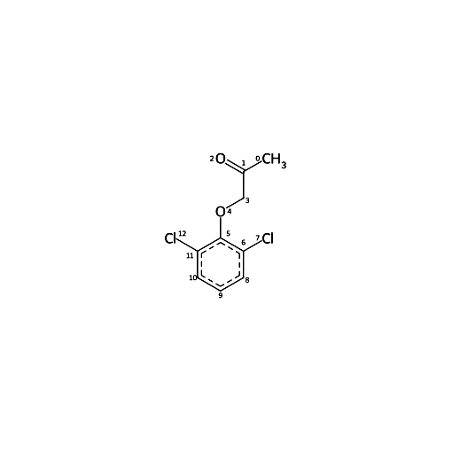 CC(=O)COc1c(Cl)cccc1Cl